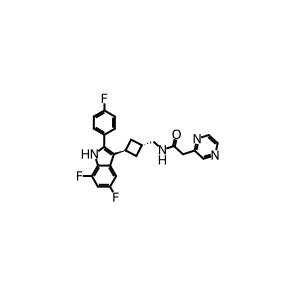 O=C(Cc1cnccn1)NC[C@H]1C[C@H](c2c(-c3ccc(F)cc3)[nH]c3c(F)cc(F)cc32)C1